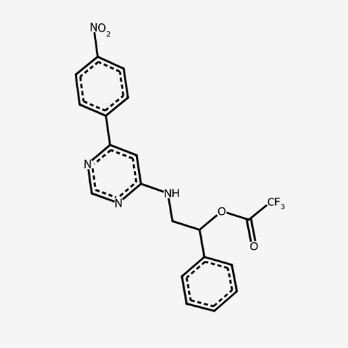 O=C(OC(CNc1cc(-c2ccc([N+](=O)[O-])cc2)ncn1)c1ccccc1)C(F)(F)F